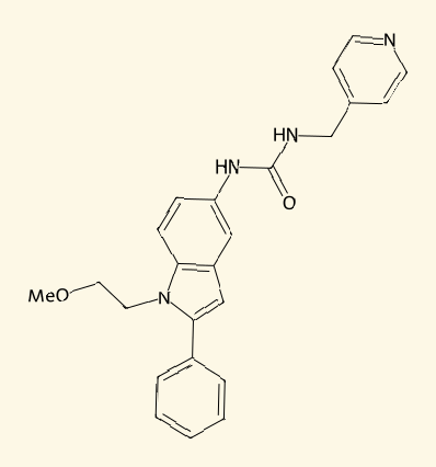 COCCn1c(-c2ccccc2)cc2cc(NC(=O)NCc3ccncc3)ccc21